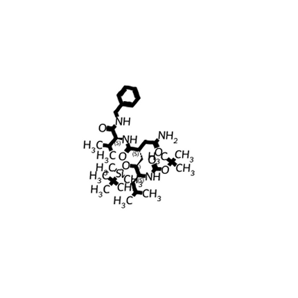 CC(C)C[C@H](NC(=O)OC(C)(C)C)[C@H](C[C@@H](CC(N)=O)C(=O)N[C@H](C(=O)NCc1ccccc1)C(C)C)O[Si](C)(C)C(C)(C)C